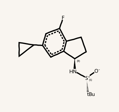 CC(C)(C)[S@@+]([O-])N[C@@H]1CCc2c(F)cc(C3CC3)cc21